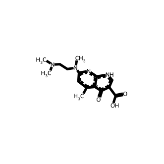 Cc1cc(N(C)CCN(C)C)nc2[nH]cc(C(=O)O)c(=O)c12